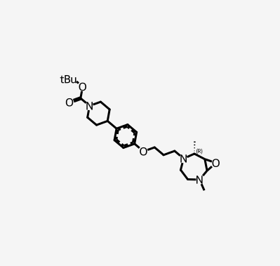 C[C@@H]1C2OC2N(C)CCN1CCCOc1ccc(C2CCN(C(=O)OC(C)(C)C)CC2)cc1